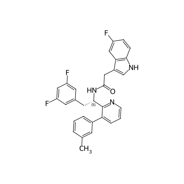 Cc1cccc(-c2cccnc2[C@H](Cc2cc(F)cc(F)c2)NC(=O)Cc2c[nH]c3ccc(F)cc23)c1